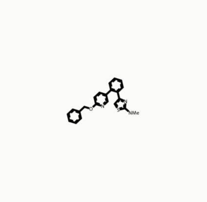 CNc1nc(-c2ccccc2-c2ccc(OCc3ccccc3)nc2)cs1